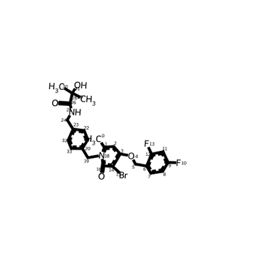 Cc1cc(OCc2ccc(F)cc2F)c(Br)c(=O)n1Cc1ccc(CNC(=O)C(C)(C)O)cc1